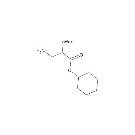 CCCCCCC(CN)C(=O)OC1CCCCC1